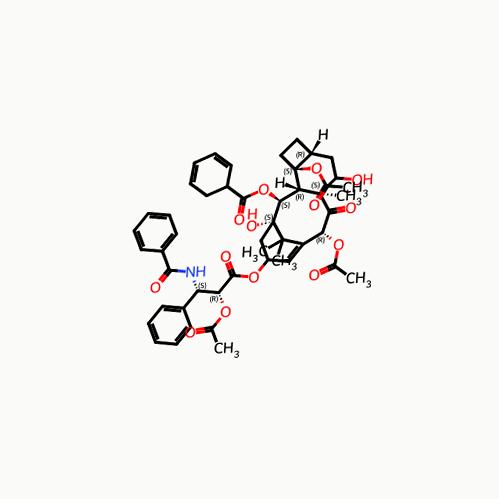 CC(=O)O[C@H]1C(=O)[C@]2(C)C(O)C[C@H]3CC[C@@]3(OC(C)=O)[C@H]2[C@H](OC(=O)C2C=CC=CC2)[C@]2(O)CC(OC(=O)[C@H](OC(C)=O)[C@@H](NC(=O)c3ccccc3)c3ccccc3)C=C1C2(C)C